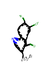 CCOC(=O)c1cnc2cc(F)c(Cl)cc2c1Cl